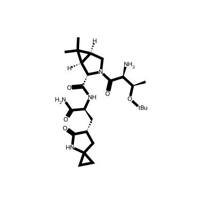 C[C@@H](OC(C)(C)C)[C@H](N)C(=O)N1C[C@H]2[C@@H]([C@H]1C(=O)N[C@@H](C[C@@H]1CC3(CC3)NC1=O)C(N)=O)C2(C)C